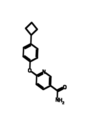 NC(=O)c1ccc(Oc2ccc(C3CCC3)cc2)nc1